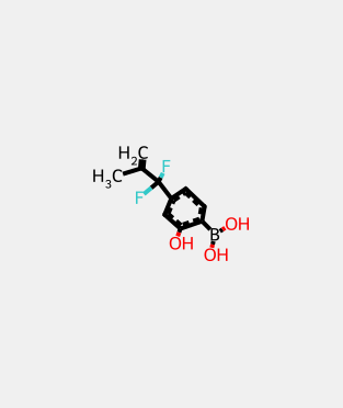 C=C(C)C(F)(F)c1ccc(B(O)O)c(O)c1